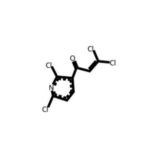 O=C(C=C(Cl)Cl)c1ccc(Cl)nc1Cl